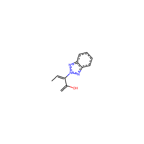 C=C(O)/C(=C\C)n1nc2ccccc2n1